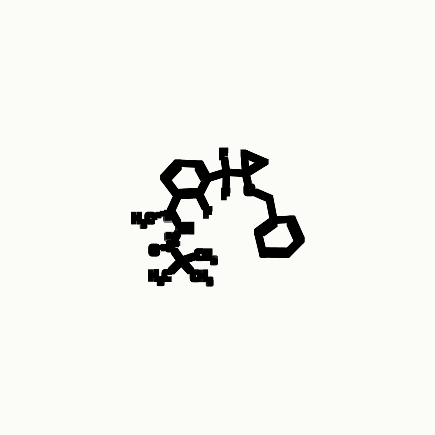 C[C@@H](N[S@@+]([O-])C(C)(C)C)c1cccc(C(F)(F)C2(OCc3ccccc3)CC2)c1F